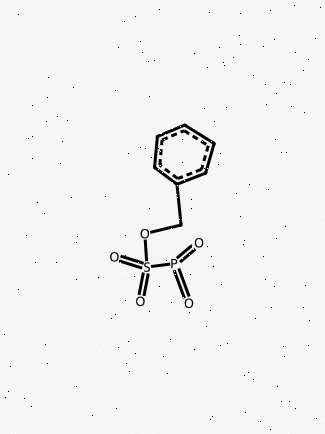 O=P(=O)S(=O)(=O)OCc1ccccc1